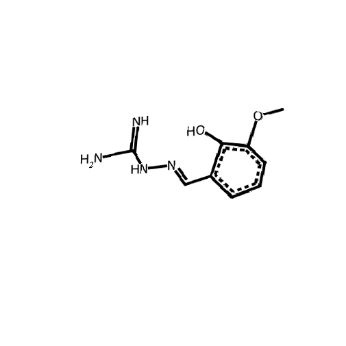 COc1cccc(C=NNC(=N)N)c1O